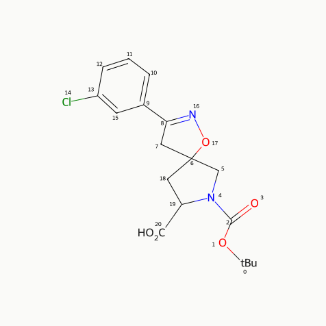 CC(C)(C)OC(=O)N1CC2(CC(c3cccc(Cl)c3)=NO2)CC1C(=O)O